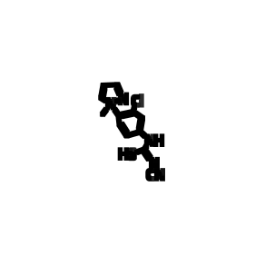 C[N+]1(c2ccc(NC(S)=NC#N)cc2Cl)C=CC=N1